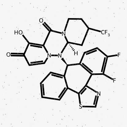 O=C1c2c(O)c(=O)ccn2N([C@@H]2c3ccccc3-c3scnc3-c3c2ccc(F)c3F)[C@@H]2CC(C(F)(F)F)CCN12